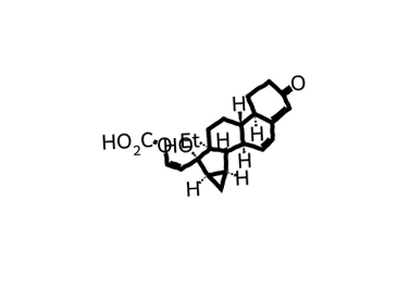 CC[C@]12CC[C@H]3[C@@H](C=CC4=CC(=O)CC[C@@H]43)[C@@H]1[C@H]1C[C@H]1[C@@]2(O)/C=C\OC(=O)O